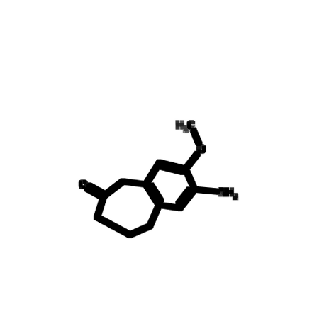 COc1cc2c(cc1N)CCCC(=O)C2